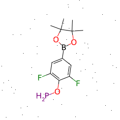 CC1(C)OB(c2cc(F)c(OP)c(F)c2)OC1(C)C